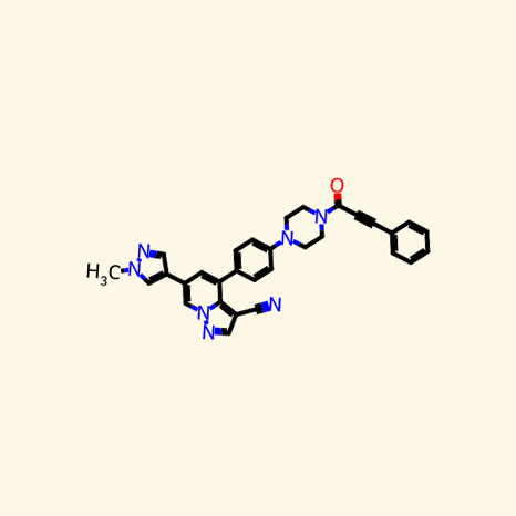 Cn1cc(-c2cc(-c3ccc(N4CCN(C(=O)C#Cc5ccccc5)CC4)cc3)c3c(C#N)cnn3c2)cn1